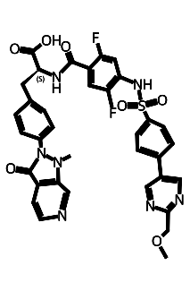 COCc1ncc(-c2ccc(S(=O)(=O)Nc3cc(F)c(C(=O)N[C@@H](Cc4ccc(-n5c(=O)c6ccncc6n5C)cc4)C(=O)O)cc3F)cc2)cn1